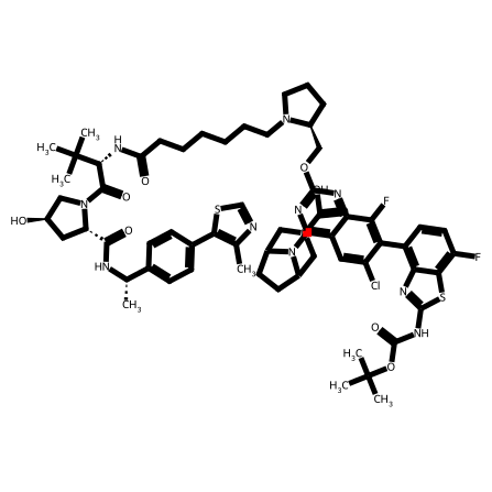 Cc1ncsc1-c1ccc([C@H](C)NC(=O)[C@@H]2C[C@@H](O)CN2C(=O)[C@@H](NC(=O)CCCCCCN2CCC[C@H]2COc2nc(N3C4CCC3CN(C(=O)O)C4)c3cc(Cl)c(-c4ccc(F)c5sc(NC(=O)OC(C)(C)C)nc45)c(F)c3n2)C(C)(C)C)cc1